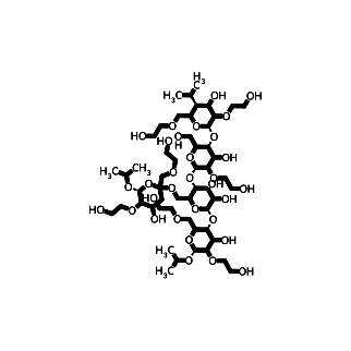 CC(C)O[C@@H]1OC(COCCO)(OCC2O[C@@H](O[C@H]3C(COCCO)O[C@@H](OC(C)C)C(OCCO)C3O)C(O)C(O)[C@H]2O[C@@H]2OC(CO)[C@H](O[C@@H]3OC(COCCO)[C@@H](C(C)C)C(O)C3OCCO)C(O)C2OCCO)CC(O)C1OCCO